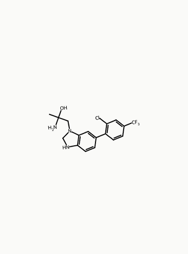 CC(N)(O)CN1CNc2ccc(-c3ccc(C(F)(F)F)cc3Cl)cc21